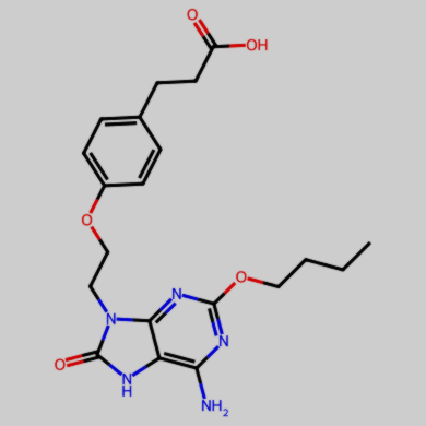 CCCCOc1nc(N)c2[nH]c(=O)n(CCOc3ccc(CCC(=O)O)cc3)c2n1